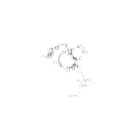 CCCCCCCCCCCCCCCC(=O)NCC[N+](C)(C)CCOCCOCCC(=O)NC[C@H]1NC(=O)[C@H](C)NC(=O)CCC(=O)N(Cc2ccc(CCNC(=O)[C@]3(C)CCCN3C(=O)[C@H](Cc3ccc(OC)cc3)NC=O)cc2)CCCCCCn2cc(c3cc(F)ccc32)C[C@@H]2NC(=O)[C@H](Cc3cccc(c3)CNC(=O)CO[C@H](C)CCNC2=O)NC1=O